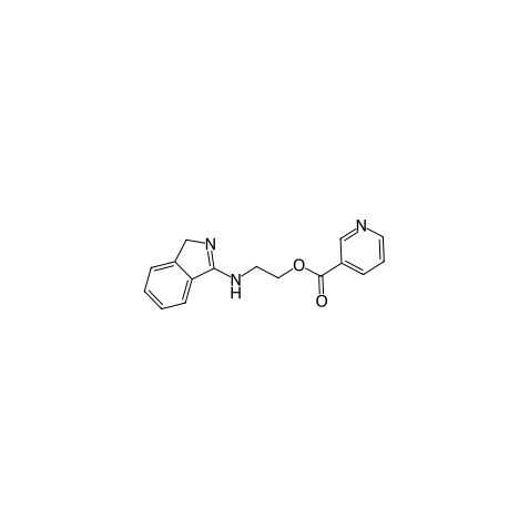 O=C(OCCNC1=NCc2ccccc21)c1cccnc1